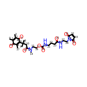 CC1=C(C)C(=O)C(C(C)(C)CC(=O)N(C)CCOC(=O)NCCCC(=O)NCCN2C(=O)C=CC2=O)=C(C)C1=O